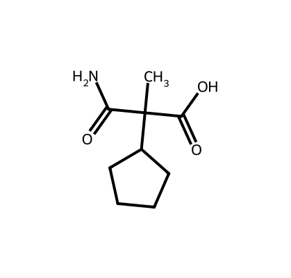 CC(C(N)=O)(C(=O)O)C1CCCC1